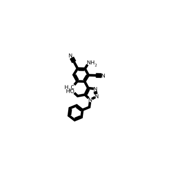 Cc1cc(C#N)c(N)c(C#N)c1-c1nnn(Cc2ccccc2)c1CO